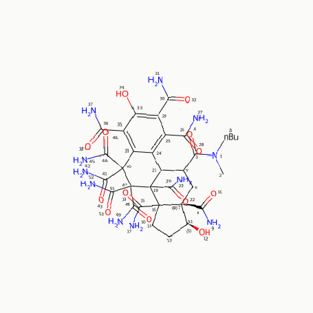 CCCCN(C)C(=O)C1C[C@]2(C(N)=O)[C@@H](O)CCC2(C(N)=O)C2(C(N)=O)C1c1c(C(N)=O)c(C(N)=O)c(O)c(C(N)=O)c1C(C(N)=O)(C(N)=O)C2(C(N)=O)C(N)=O